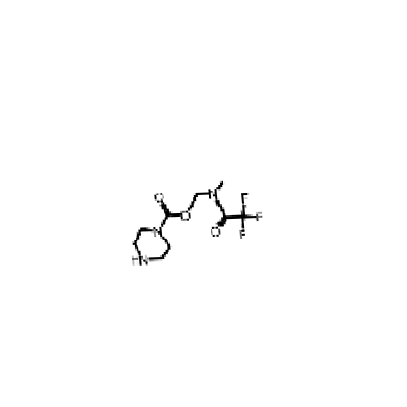 CN(COC(=O)N1CCNCC1)C(=O)C(F)(F)F